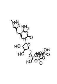 Cn1cc(Cc2cn([C@@H]3O[C@H](COP(=O)(O)OP(=O)(O)OP(=O)(O)O)C(O)[C@@H]3O)c(=O)nc2N)nn1